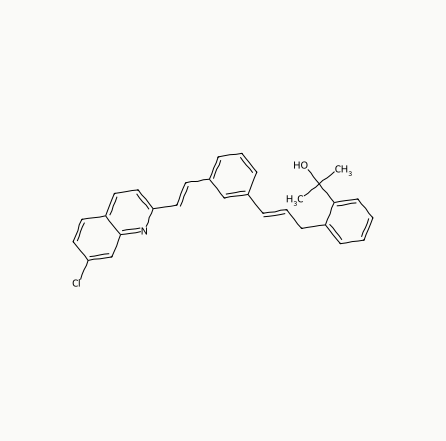 CC(C)(O)c1ccccc1C/C=C/c1cccc(/C=C/c2ccc3ccc(Cl)cc3n2)c1